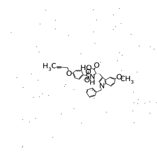 CC#CCOc1ccc(S(=O)(=O)N[C@@H](Cc2cn(Cc3ccccc3)c3ccc(OC)cc23)C(=O)O)cc1